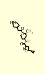 C[C@H]1C[C@H](NC(=O)c2cc(C3CC3)on2)CCN1C(=O)CC1CCNCC1